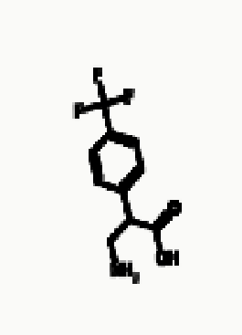 NCC(C(=O)O)c1ccc(C(F)(F)F)cc1